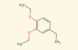 CCOc1ccc(CC)cc1OCC